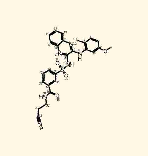 COc1ccc(I)c(Nc2nc3ccccc3nc2NS(=O)(=O)c2cccc(C(=O)NCCC#N)c2)c1